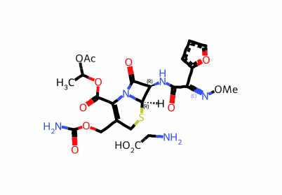 CO/N=C(/C(=O)N[C@@H]1C(=O)N2C(C(=O)OC(C)OC(C)=O)=C(COC(N)=O)CS[C@H]12)c1ccco1.NCC(=O)O